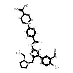 CC[C@@H]1CCCN1Cc1sc(NC(=O)c2cnc(N3CCC(C(=O)O)CC3)cn2)nc1-c1ccc(C)c(CF)c1